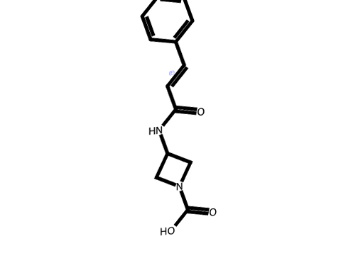 O=C(/C=C/c1ccccc1)NC1CN(C(=O)O)C1